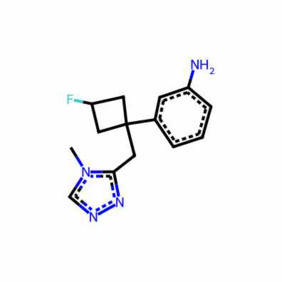 Cn1cnnc1CC1(c2cccc(N)c2)CC(F)C1